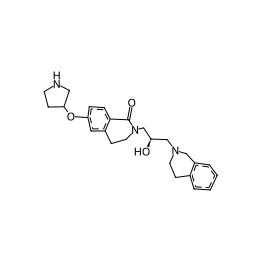 O=C1c2ccc(OC3CCNC3)cc2CCN1C[C@H](O)CN1CCc2ccccc2C1